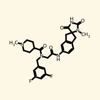 CN1CCC(C(=O)N(CC(=O)Nc2ccc3c(c2)CC2(C3)C(=O)NC(=O)N2C)Cc2cc(F)cc(F)c2)CC1